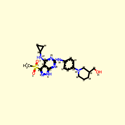 CS(=O)(=O)c1n[nH]c2nc(Nc3ccc(N4CCCC(CO)C4)cc3)nc(NC3CC3)c12